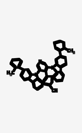 Cc1ccccc1-c1ccc2c3ccccc3n(-c3cncc(-n4c5ccccc5c5ccc(-c6ccccc6C)cc54)c3-c3ccc(C#N)cc3)c2c1